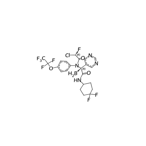 B[C@](C(=O)NC1CCC(F)(F)CC1)(c1cncnc1)N(C(=O)[C@H](F)Cl)c1ccc(OC(F)(F)C(F)(F)F)cc1